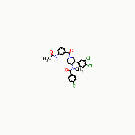 CC(=O)Nc1cccc(C(=O)N2CC[C@@H](N(C)C(=O)c3ccc(Cl)cc3)[C@H](c3ccc(Cl)c(Cl)c3)C2)c1